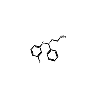 CNCC[C@H](Oc1cccc(F)c1)c1ccccc1